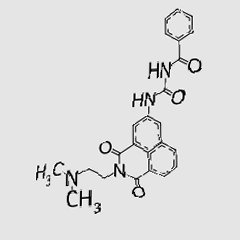 CN(C)CCN1C(=O)c2cccc3cc(NC(=O)NC(=O)c4ccccc4)cc(c23)C1=O